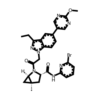 CCc1nn(CC(=O)N2[C@H](C(=O)Nc3cccc(Br)n3)C[C@@]3(C)C[C@@H]23)c2ccc(-c3cnc(OC)nc3)cc12